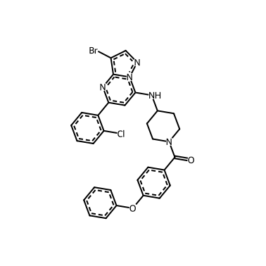 O=C(c1ccc(Oc2ccccc2)cc1)N1CCC(Nc2cc(-c3ccccc3Cl)nc3c(Br)cnn23)CC1